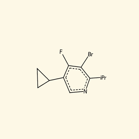 CC(C)c1ncc(C2CC2)c(F)c1Br